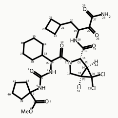 COC(=O)C1(NC(=O)N[C@H](C(=O)N2C[C@H]3[C@@H]([C@H]2C(=O)NC(CC2CCC2)C(=O)C(N)=O)C3(Cl)Cl)C2CCCCC2)CCCC1